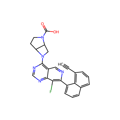 C#Cc1cccc2cccc(-c3ncc4c(N5CC6C5CCN6C(=O)O)ncnc4c3F)c12